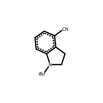 CCC(C)N1CCc2c(C#N)cccc21